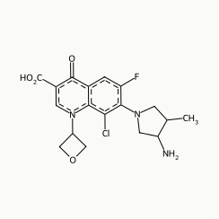 CC1CN(c2c(F)cc3c(=O)c(C(=O)O)cn(C4COC4)c3c2Cl)CC1N